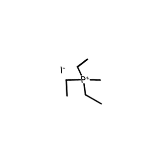 CC[P+](C)(CC)CC.[I-]